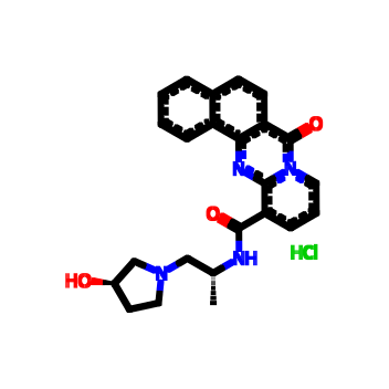 C[C@H](CN1CC[C@@H](O)C1)NC(=O)c1cccn2c(=O)c3ccc4ccccc4c3nc12.Cl